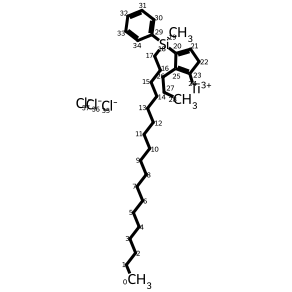 CCCCCCCCCCCCCCCCCC[Si](C)(C1=CC[C]([Ti+3])=C1CCC)c1ccccc1.[Cl-].[Cl-].[Cl-]